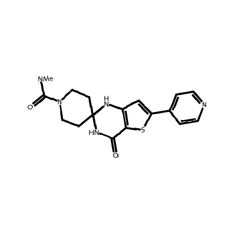 CNC(=O)N1CCC2(CC1)NC(=O)c1sc(-c3ccncc3)cc1N2